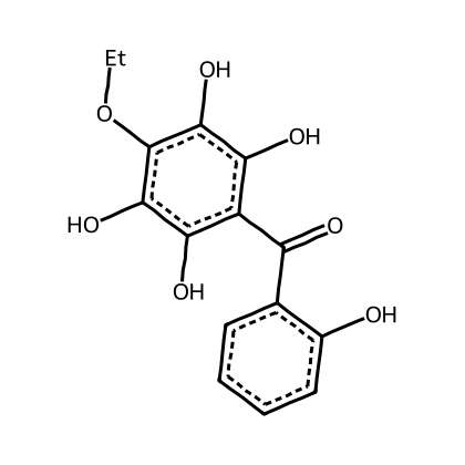 CCOc1c(O)c(O)c(C(=O)c2ccccc2O)c(O)c1O